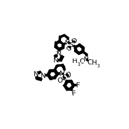 CN(C)Cc1ccc(S(=O)(=O)N2CCCc3ccc(-n4ccnc4)cc32)cc1.O=S(=O)(c1ccc(F)c(F)c1)N1CCCc2cc(-n3ccnc3)ccc21